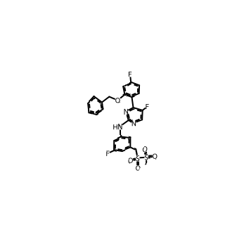 CS(=O)(=O)S(=O)(=O)Cc1cc(F)cc(Nc2ncc(F)c(-c3ccc(F)cc3OCc3ccccc3)n2)c1